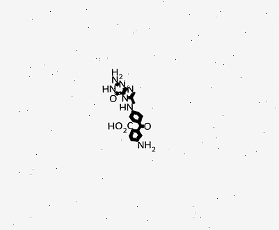 Nc1ccc(C(=O)O)c(C(=O)c2ccc(NCc3cnc4nc(N)[nH]c(=O)c4n3)cc2)c1